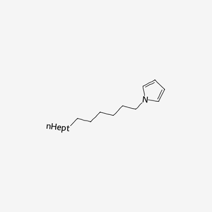 CCCCCCCCCCCCCn1cccc1